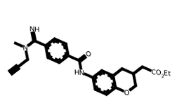 C#CCN(C)C(=N)c1ccc(C(=O)Nc2ccc3c(c2)CC(CC(=O)OCC)CO3)cc1